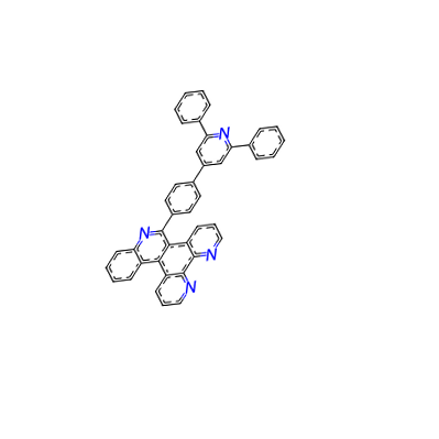 c1ccc(-c2cc(-c3ccc(-c4nc5ccccc5c5c6cccnc6c6ncccc6c45)cc3)cc(-c3ccccc3)n2)cc1